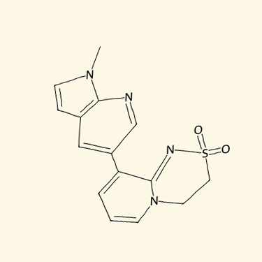 Cn1ccc2cc(C3=CC=CN4CCS(=O)(=O)N=C34)cnc21